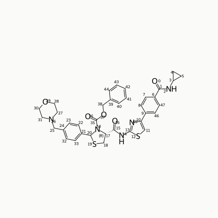 O=C(NC1CC1)c1ccc(-c2csc(NC(=O)[C@@H]3CSC(c4ccc(CN5CCOCC5)cc4)N3C(=O)OCc3ccccc3)n2)cc1